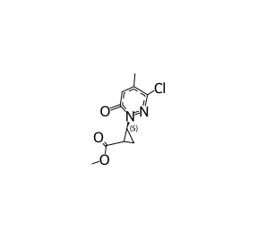 COC(=O)C1C[C@@H]1n1nc(Cl)c(C)cc1=O